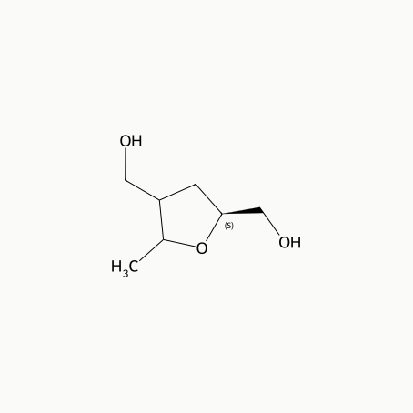 CC1O[C@H](CO)CC1CO